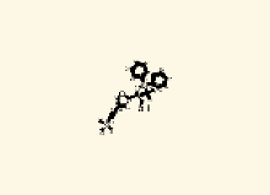 CC(C)(C)[Si](O[C@@H](CO)[C@@H]1CC(C#C[Si](C)(C)C)=NO1)(c1ccccc1)c1ccccc1